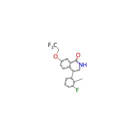 Cc1c(F)cccc1-c1c[nH]c(=O)c2cc(OCC(F)(F)F)ccc12